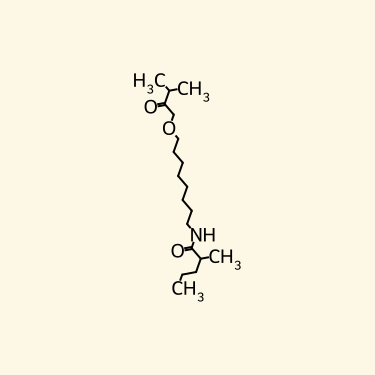 CCCC(C)C(=O)NCCCCCCCCOCC(=O)C(C)C